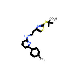 CC(C)(Sc1nc(CCNc2cccc(-c3ccc(C(F)(F)F)cc3)n2)cs1)C(=O)O